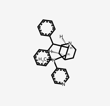 CN(c1ccncc1)[C@@H]1C2CCN(CC2)[C@@H]1C(c1ccccc1)c1ccccc1